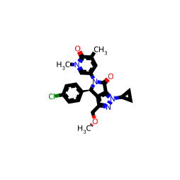 COCc1nn(C2CC2)c2c1[C@@H](c1ccc(Cl)cc1)N(c1cc(C)c(=O)n(C)c1)C2=O